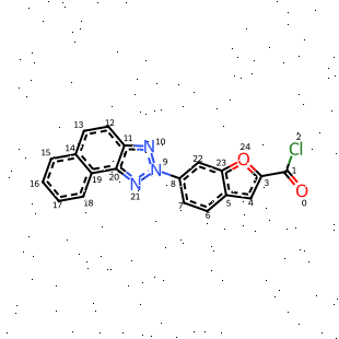 O=C(Cl)c1cc2ccc(-n3nc4ccc5ccccc5c4n3)cc2o1